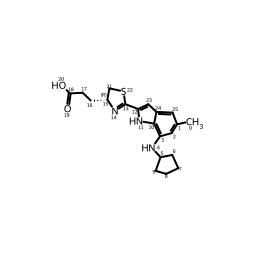 Cc1cc(NC2CCCC2)c2[nH]c(C3=N[C@H](CCC(=O)O)CS3)cc2c1